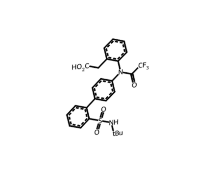 CC(C)(C)NS(=O)(=O)c1ccccc1-c1ccc(N(C(=O)C(F)(F)F)c2ccccc2CC(=O)O)cc1